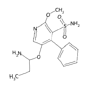 CCC(N)Oc1cnc(OC)c(S(N)(=O)=O)c1-c1ccccc1